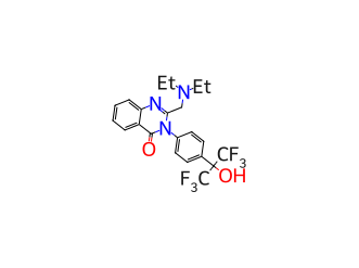 CCN(CC)Cc1nc2ccccc2c(=O)n1-c1ccc(C(O)(C(F)(F)F)C(F)(F)F)cc1